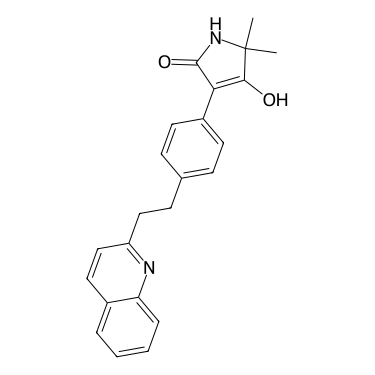 CC1(C)NC(=O)C(c2ccc(CCc3ccc4ccccc4n3)cc2)=C1O